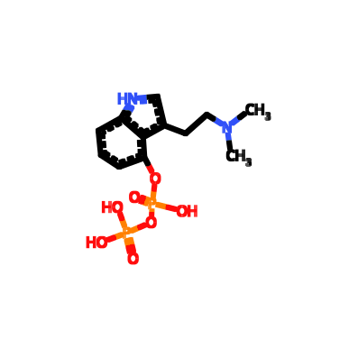 CN(C)CCc1c[nH]c2cccc(OP(=O)(O)OP(=O)(O)O)c12